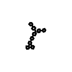 c1ccc(-c2ccc(N(c3ccc(-c4ccccc4)cc3)c3ccc(-c4ccc(-c5ccc6c7ccccc7c7ccccc7c6c5)cc4)cc3)cc2)cc1